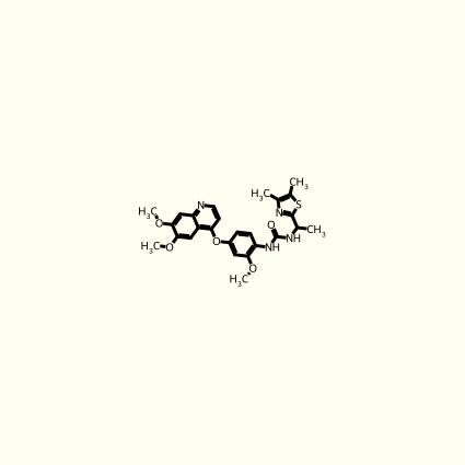 COc1cc(Oc2ccnc3cc(OC)c(OC)cc23)ccc1NC(=O)NC(C)c1nc(C)c(C)s1